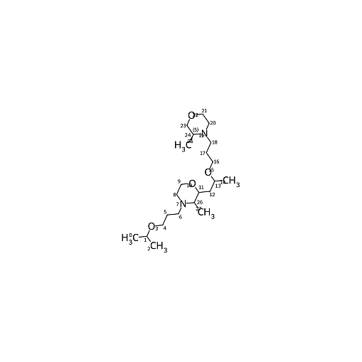 CC(C)OCCCN1CCOC(CC(C)OCCCN2CCOC[C@@H]2C)C1C